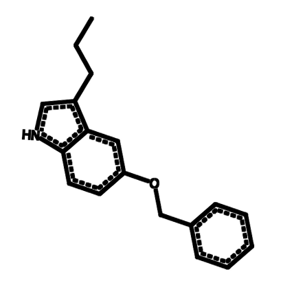 CCCc1c[nH]c2ccc(OCc3ccccc3)cc12